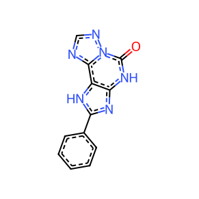 O=c1[nH]c2nc(-c3ccccc3)[nH]c2c2ncnn12